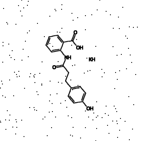 O=C(CCc1ccc(O)cc1)Nc1ccccc1C(=O)O.[KH]